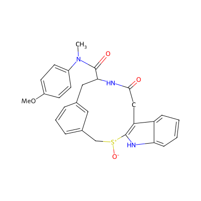 COc1ccc(N(C)C(=O)C2Cc3cccc(c3)C[S+]([O-])c3[nH]c4ccccc4c3CC(=O)N2)cc1